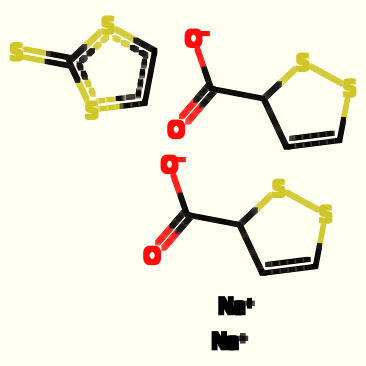 O=C([O-])C1C=CSS1.O=C([O-])C1C=CSS1.S=c1sccs1.[Na+].[Na+]